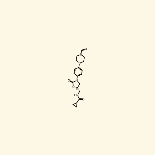 O=CN1CCN(c2ccc(N3C[C@H](CNC(=S)C4CC4)OC3=O)cc2)CC1